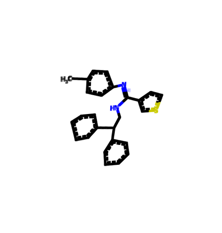 Cc1ccc(/N=C(\NCC(c2ccccc2)c2ccccc2)c2ccsc2)cc1